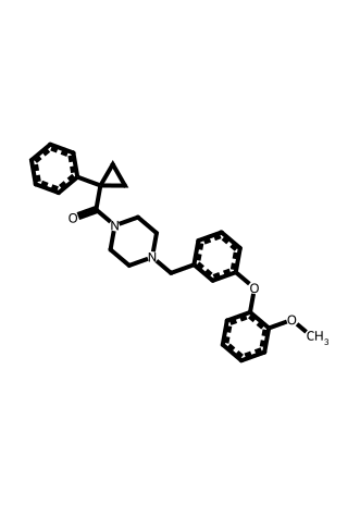 COc1ccccc1Oc1cccc(CN2CCN(C(=O)C3(c4ccccc4)CC3)CC2)c1